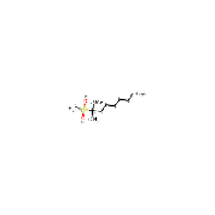 CCCCCCCCCCCCC(C)(SC)S(C)(=O)=O